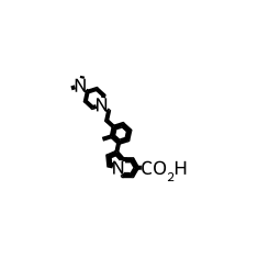 Cc1c(CCN2CCC(N(C)C)CC2)cccc1-c1ccn2ccc(C(=O)O)cc12